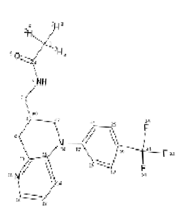 [2H]C([2H])([2H])C(=O)NC[C@H]1Cc2ncccc2N(c2ccc(C(F)(F)F)cc2)C1